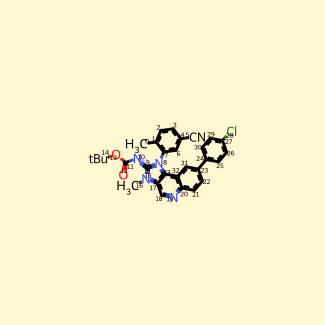 Cc1ccc(C#N)cc1-n1/c(=N/C(=O)OC(C)(C)C)n(C)c2cnc3ccc(-c4ccc(Cl)cc4)cc3c21